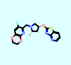 C[C@H]1C[C@@H](Oc2nc3ncccc3s2)CN1Cc1nc2c(cc1F)OCCO2